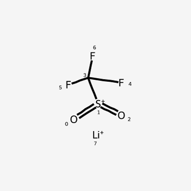 O=[S+](=O)C(F)(F)F.[Li+]